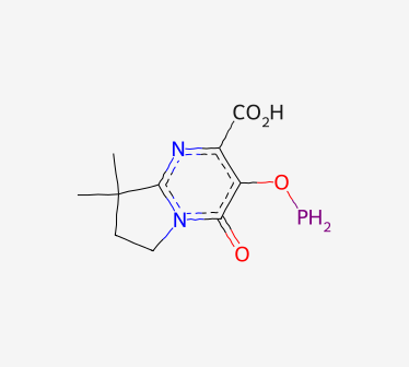 CC1(C)CCn2c1nc(C(=O)O)c(OP)c2=O